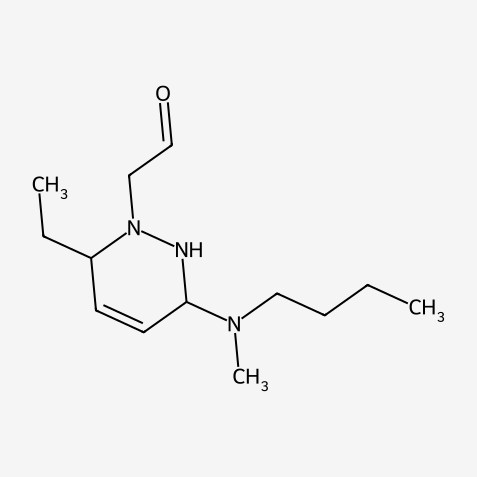 CCCCN(C)C1C=CC(CC)N(CC=O)N1